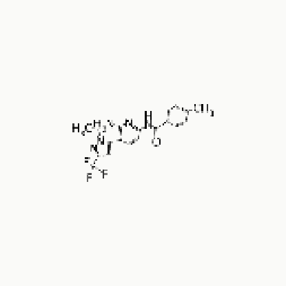 CCn1nc(C(F)(F)F)cc1-c1ccc(NC(=O)c2ccc(C)cc2)nc1N